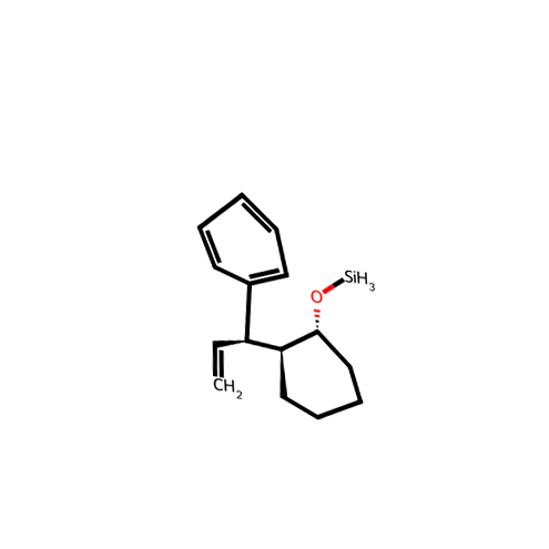 C=C[C@@H](c1ccccc1)[C@@H]1CCCC[C@H]1O[SiH3]